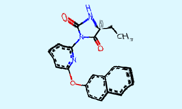 CC[C@@H]1NC(=O)N(c2cccc(Oc3ccc4ccccc4c3)n2)C1=O